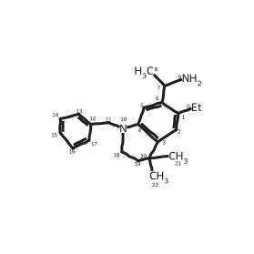 CCc1cc2c(cc1C(C)N)N(Cc1ccccc1)CCC2(C)C